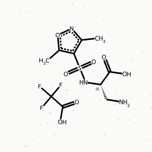 Cc1noc(C)c1S(=O)(=O)N[C@@H](CN)C(=O)O.O=C(O)C(F)(F)F